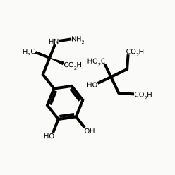 C[C@@](Cc1ccc(O)c(O)c1)(NN)C(=O)O.O=C(O)CC(O)(CC(=O)O)C(=O)O